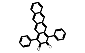 O=C1C(=O)C(c2ccccc2)=c2cc3cc4ccccc4cc3cc2=C1c1ccccc1